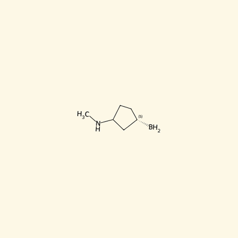 B[C@H]1CCC(NC)C1